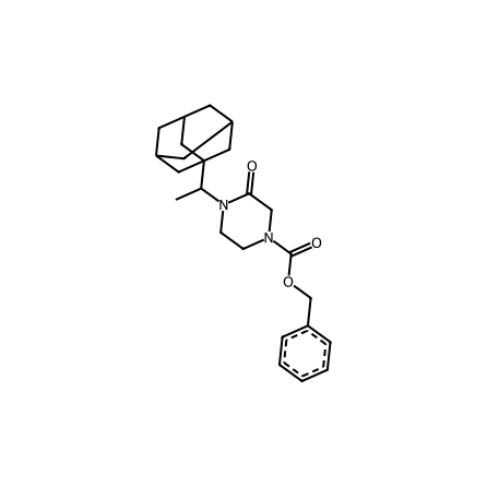 CC(N1CCN(C(=O)OCc2ccccc2)CC1=O)C12CC3CC(CC(C3)C1)C2